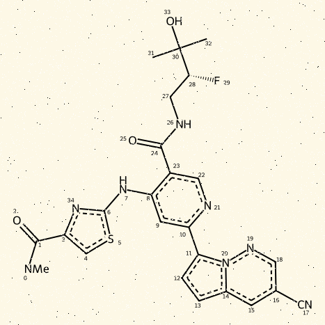 CNC(=O)c1csc(Nc2cc(-c3ccc4cc(C#N)cnn34)ncc2C(=O)NC[C@@H](F)C(C)(C)O)n1